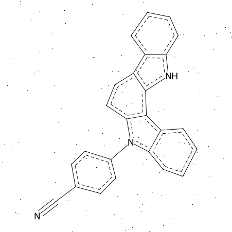 N#Cc1ccc(-n2c3ccccc3c3c4[nH]c5ccccc5c4ccc32)cc1